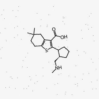 CNC[C@@H]1CCCC1c1sc2c(c1C(=O)O)CC(C)(C)CC2